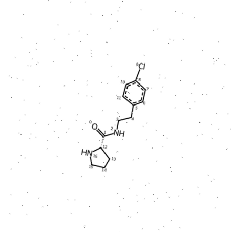 O=C(NCCc1ccc(Cl)cc1)[C@@H]1CCCN1